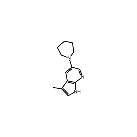 Cc1c[nH]c2ncc(N3CCCCC3)cc12